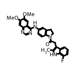 COc1cc2ncnc(Nc3ccc4c(c3)CCN4C(=O)Cc3c(C)[nH]c4c(F)cccc34)c2cc1OC